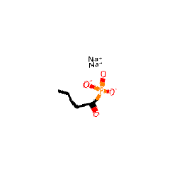 CCCC(=O)P(=O)([O-])[O-].[Na+].[Na+]